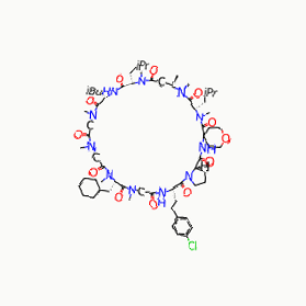 CCC(C)[C@@H]1NC(=O)[C@H](CC(C)C)N(C)C(=O)C[C@@H](C)N(C)C(=O)[C@H](CC(C)C)N(C)C(=O)C2(CCOCC2)NC(=O)[C@@H]2CCCN2C(=O)[C@H](CCc2ccc(Cl)cc2)NC(=O)CN(C)C(=O)[C@H](CC2CCCCC2)N(C)C(=O)CN(C)C(=O)CN(C)C1=O